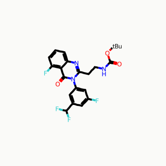 CC(C)(C)OC(=O)NCCc1nc2cccc(F)c2c(=O)n1-c1cc(F)cc(C(F)F)c1